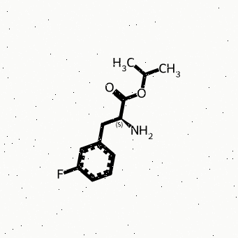 CC(C)OC(=O)[C@@H](N)Cc1cccc(F)c1